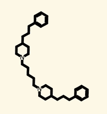 c1ccc(CCCC2CCN(CCCCCN3CCC(CCCc4ccccc4)CC3)CC2)cc1